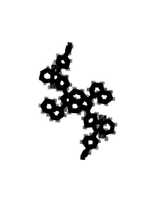 CC12CCCCC1(C)N(c1ccc(C#N)cc1)c1ccc(-c3cc(-c4cccc5ccccc45)c4ccc5c(-c6ccc7c(c6)C6(C)CCCCC6(C)N7c6ccc(C#N)cc6)cc(-c6cccc7ccccc67)c6ccc3c4c56)cc12